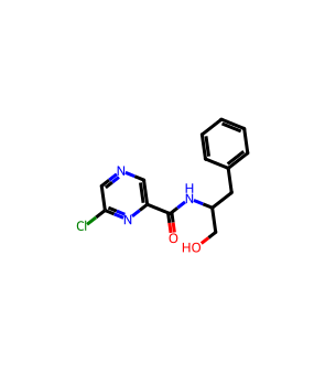 O=C(NC(CO)Cc1ccccc1)c1cncc(Cl)n1